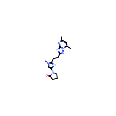 Cc1cc(C)n2nc(CCc3nc(N4CCCC4=O)cn3C)nc2n1